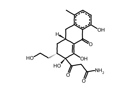 Cc1ccc(O)c2c1C[C@H]1C[C@@H](CCO)[C@@](O)(C(=O)CC(N)=O)C(O)=C1C2=O